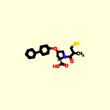 CC(CS)C(=O)N1CC(Oc2ccc(-c3ccccc3)cc2)C[C@H]1C(=O)O